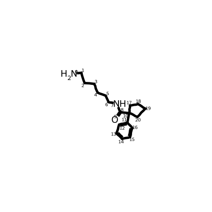 NCCCCCCNC(=O)C1(c2ccccc2)CCCC1